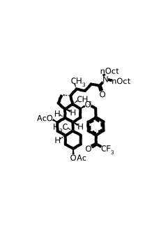 CCCCCCCCN(CCCCCCCC)C(=O)CC[C@@H](C)[C@H]1CC[C@H]2[C@@H]3[C@H](OC(C)=O)C[C@@H]4C[C@H](OC(C)=O)CC[C@]4(C)[C@H]3C[C@H](OCc3ccc(C(=O)C(F)(F)F)cc3)[C@]12C